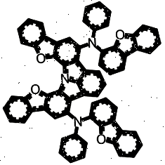 c1ccc(N(c2cccc3c2oc2ccccc23)c2cc3c4ccccc4oc3c3c2c2cccc4c5c(N(c6ccccc6)c6cccc7c6oc6ccccc67)cc6c7ccccc7oc6c5n3c24)cc1